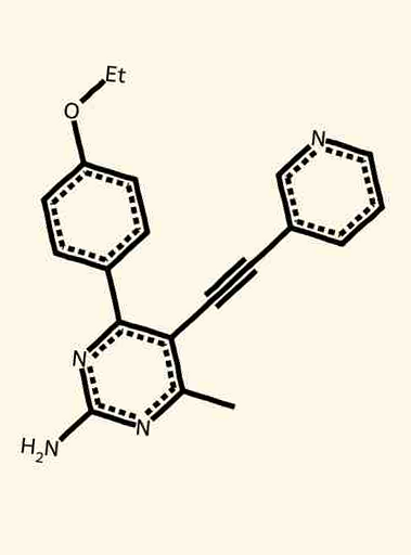 CCOc1ccc(-c2nc(N)nc(C)c2C#Cc2cccnc2)cc1